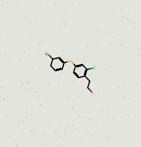 CCC1C=C(Sc2ccc(CCI)c(Cl)c2)C=CC1